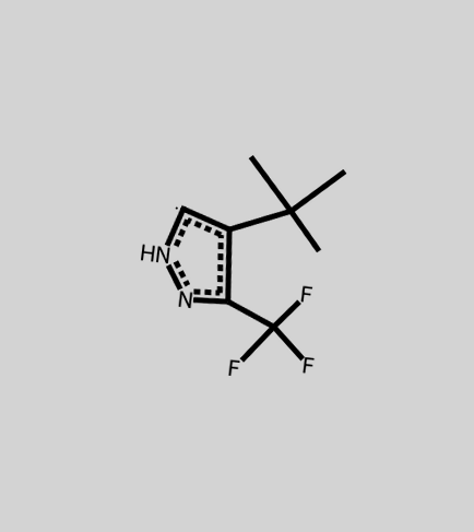 CC(C)(C)c1[c][nH]nc1C(F)(F)F